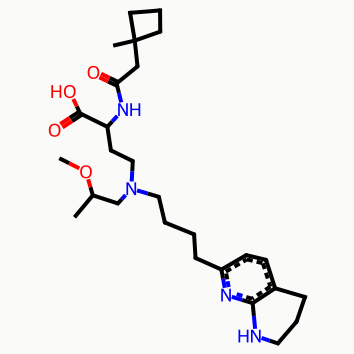 COC(C)CN(CCCCc1ccc2c(n1)NCCC2)CCC(NC(=O)CC1(C)CCC1)C(=O)O